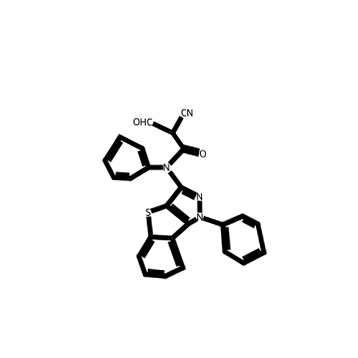 N#CC(C=O)C(=O)N(c1ccccc1)c1nn(-c2ccccc2)c2c1sc1ccccc12